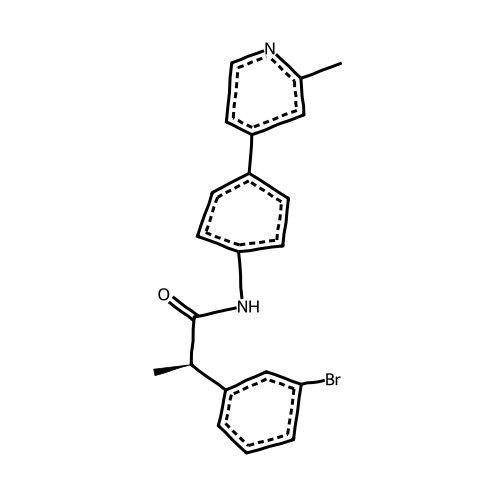 Cc1cc(-c2ccc(NC(=O)[C@H](C)c3cccc(Br)c3)cc2)ccn1